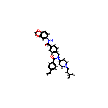 C=Cc1ccc(C(=O)N(Cc2ccc(C(=O)Nc3ccc4c(c3)OCO4)cc2)C2CCN(CCC(C)C)CC2)cc1